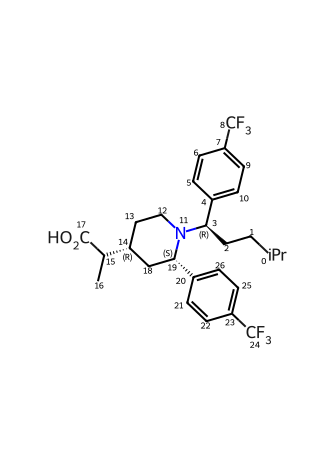 CC(C)CC[C@H](c1ccc(C(F)(F)F)cc1)N1CC[C@@H](C(C)C(=O)O)C[C@H]1c1ccc(C(F)(F)F)cc1